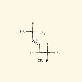 FC(F)(F)C(F)(F)C(F)(/C=C/C(F)(C(F)(F)F)C(F)(F)F)C(F)(F)F